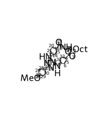 CCCCCCCCOC(=O)c1ccc(Nc2nc(Nc3ccc(C(N)=O)cc3)nc(-c3ccc(OC)cc3)n2)cc1